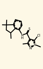 Cc1nn(C)c(Cl)c1C(=S)Nc1cccc2c1C(C)CC2(C)C